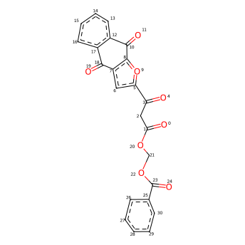 O=C(CC(=O)c1cc2c(o1)C(=O)c1ccccc1C2=O)OCOC(=O)c1ccccc1